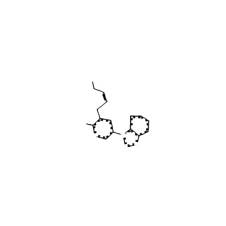 CC/C=C\Cc1cc(-n2nnc3ccccc32)cnc1C